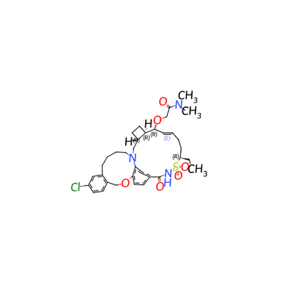 CC[C@@H]1CC/C=C/[C@H](OCC(=O)N(C)C)[C@@H]2CC[C@H]2CN2CCCCc3cc(Cl)ccc3COc3ccc(cc32)C(=O)NS1(=O)=O